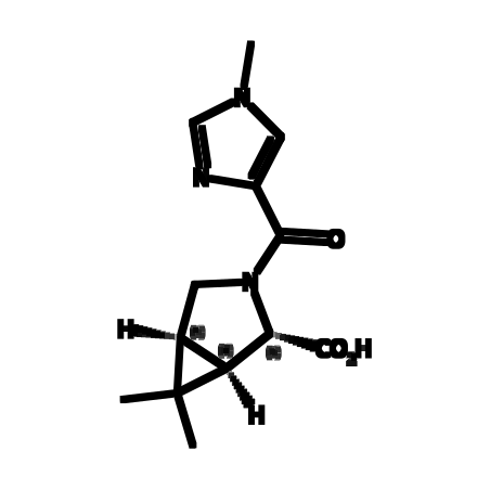 Cn1cnc(C(=O)N2C[C@H]3[C@@H]([C@H]2C(=O)O)C3(C)C)c1